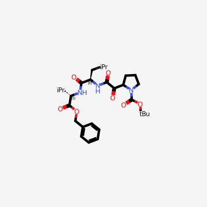 CC(C)C[C@@H](NC(=O)C(=O)C1CCCN1C(=O)OC(C)(C)C)C(=O)N[C@H](C(=O)OCc1ccccc1)C(C)C